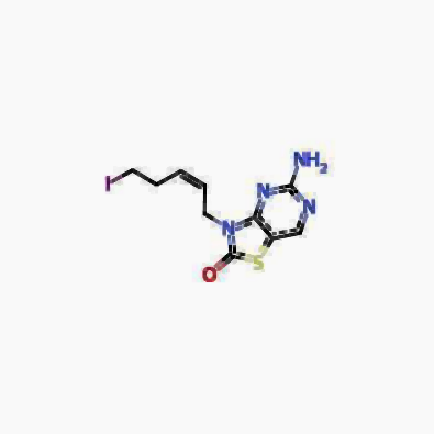 Nc1ncc2sc(=O)n(C/C=C\CCI)c2n1